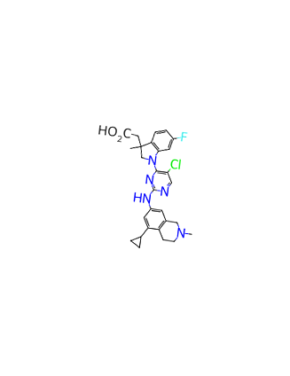 CN1CCc2c(cc(Nc3ncc(Cl)c(N4CC(C)(CC(=O)O)c5ccc(F)cc54)n3)cc2C2CC2)C1